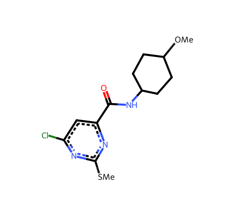 COC1CCC(NC(=O)c2cc(Cl)nc(SC)n2)CC1